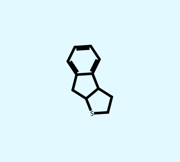 c1ccc2c(c1)CC1SCCC21